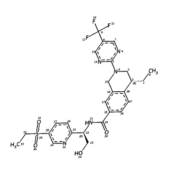 CC[C@H]1CN(c2ncc(C(F)(F)F)cn2)Cc2cc(C(=O)N[C@@H](CO)c3ccc(S(=O)(=O)CC)cn3)ccc21